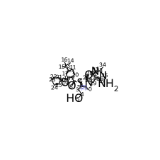 C/C(=C(\CCO)SC(=O)c1ccc(C(C)(C)C)cc1Oc1ccccc1)N(C=O)Cc1cnc(C)nc1N